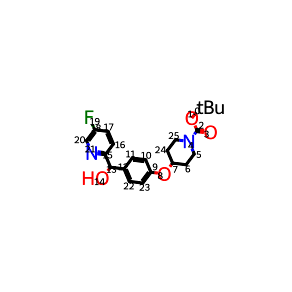 CC(C)(C)OC(=O)N1CCC(Oc2ccc(C(O)c3ccc(F)cn3)cc2)CC1